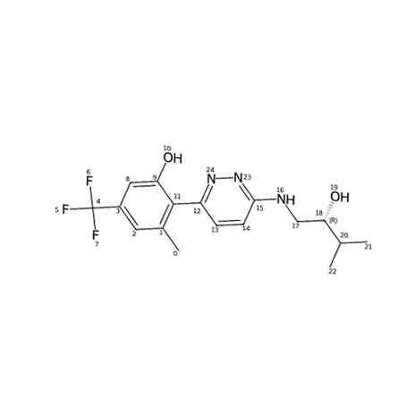 Cc1cc(C(F)(F)F)cc(O)c1-c1ccc(NC[C@H](O)C(C)C)nn1